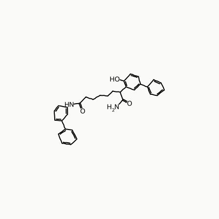 NC(=O)C(CCCCCC(=O)Nc1cccc(-c2ccccc2)c1)c1cc(-c2ccccc2)ccc1O